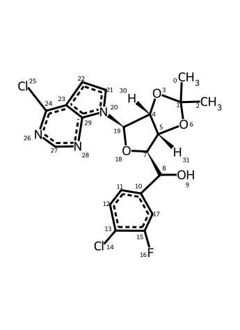 CC1(C)O[C@@H]2[C@H](O1)[C@@H](C(O)c1ccc(Cl)c(F)c1)O[C@H]2n1ccc2c(Cl)ncnc21